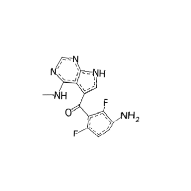 CNc1ncnc2[nH]cc(C(=O)c3c(F)ccc(N)c3F)c12